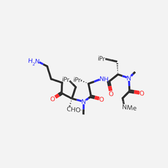 CNCC(=O)N(C)[C@@H](CC(C)C)C(=O)N[C@H](C(=O)N(C)[C@]([C]=O)(CC(C)C)C(=O)CCCN)C(C)C